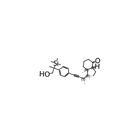 C[C@H](C#Cc1ccc(C(C)(CO)[Si](C)(C)C)cc1)[C@H]1CC[C@H]2C(=O)CCC[C@]12C